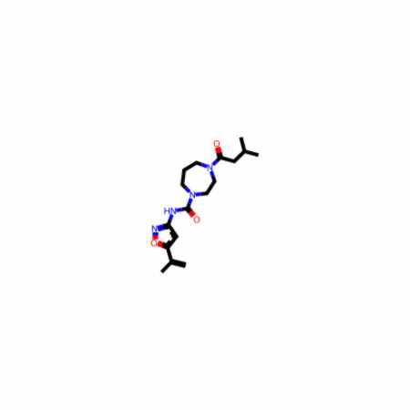 C=C(C)c1cc(NC(=O)N2CCCN(C(=O)CC(C)C)CC2)no1